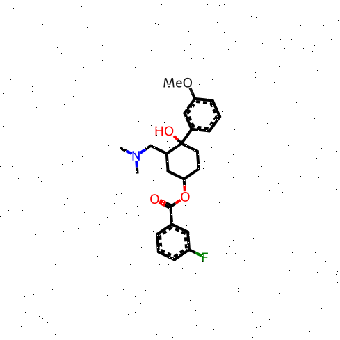 COc1cccc(C2(O)CCC(OC(=O)c3cccc(F)c3)CC2CN(C)C)c1